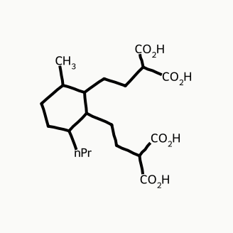 CCCC1CCC(C)C(CCC(C(=O)O)C(=O)O)C1CCC(C(=O)O)C(=O)O